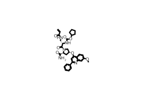 C=CC(=O)NC[C@H](NC(=O)OC1CCCC1)C(=O)N1C[C@H](Oc2cc(-c3ccccc3)nc3cc(OC)ccc23)C[C@H]1C(N)=O